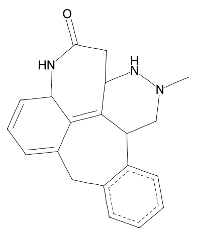 CN1CC2C3=C4C(=CC=CC4NC(=O)CC3N1)Cc1ccccc12